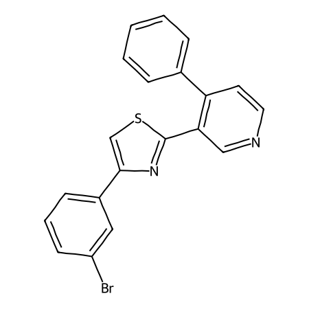 Brc1cccc(-c2csc(-c3cnccc3-c3ccccc3)n2)c1